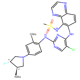 CN[C@@H]1CN(c2ccc(Nc3ncc(Cl)c(Nc4ccc5nccnc5c4NS(C)(=O)=O)n3)c(OC)c2)C[C@H]1F